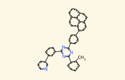 Cc1ccccc1-c1nc(-c2ccc(-c3ccc4ccc5cccc6ccc3c4c56)cc2)nc(-c2cccc(-c3cccnc3)c2)n1